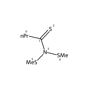 [CH2]CCC(=S)N(SC)SC